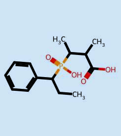 CCC(c1ccccc1)P(=O)(O)C(C)C(C)C(=O)O